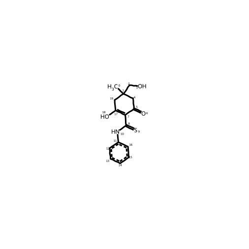 CC1(CO)CC(=O)C(C(=S)Nc2ccccc2)=C(O)C1